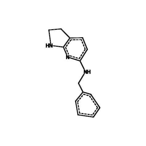 c1ccc(CNc2ccc3c(n2)NCC3)cc1